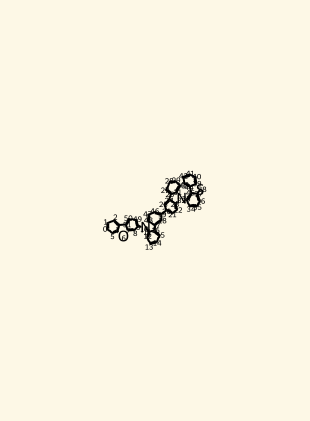 c1ccc2c(c1)oc1cc(-n3c4ccccc4c4cc(-c5ccc6c(c5)c5ccccc5n6-c5cccc6sc7ccccc7c56)ccc43)ccc12